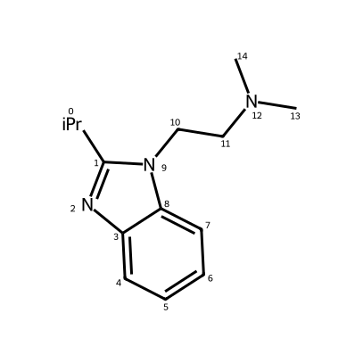 CC(C)c1nc2ccccc2n1CCN(C)C